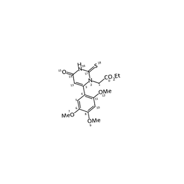 CCOC(=O)Cn1c(-c2cc(OC)c(OC)cc2OC)cc(=O)[nH]c1=S